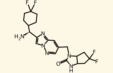 N[C@H](c1cn2ncc(CN3C(=O)NC4CC(F)(F)CC43)cc2n1)C1CCC(F)(F)CC1